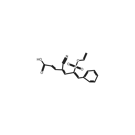 C=COS(=O)(=O)C(C=C(C#N)C=CC(=O)O)=Cc1ccccc1